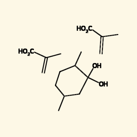 C=C(C)C(=O)O.C=C(C)C(=O)O.CC1CCC(C)C(O)(O)C1